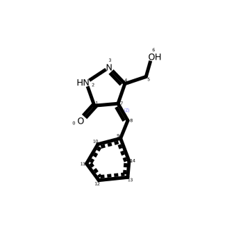 O=C1NN=C(CO)/C1=C/c1ccccc1